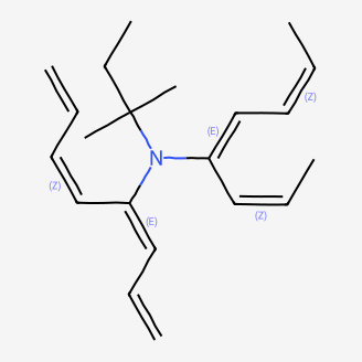 C=C/C=C\C(=C/C=C)N(C(/C=C\C)=C/C=C\C)C(C)(C)CC